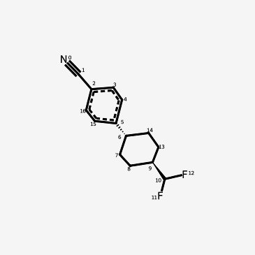 N#Cc1ccc([C@H]2CC[C@H](C(F)F)CC2)cc1